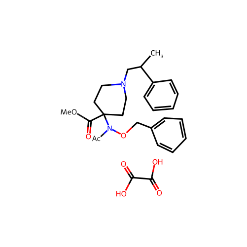 COC(=O)C1(N(OCc2ccccc2)C(C)=O)CCN(CC(C)c2ccccc2)CC1.O=C(O)C(=O)O